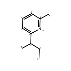 CCC(C)c1cccc(C)n1